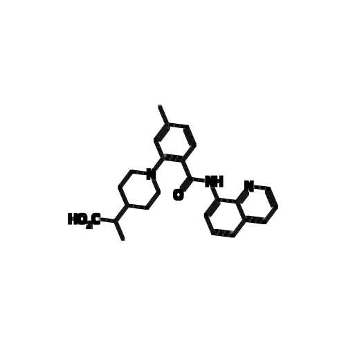 Cc1ccc(C(=O)Nc2cccc3cccnc23)c(N2CCC(C(C)C(=O)O)CC2)c1